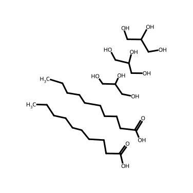 CCCCCCCCCC(=O)O.CCCCCCCCCC(=O)O.OCC(O)CO.OCC(O)CO.OCC(O)CO